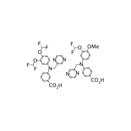 COc1ccc(N(Cc2cnccn2)c2ccc(C(=O)O)cc2)cc1OC(F)F.O=C(O)c1cccc(N(Cc2cnccn2)c2ccc(OC(F)F)c(OC(F)F)c2)c1